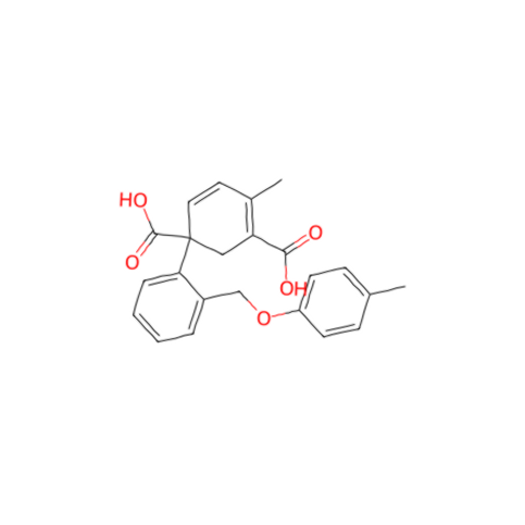 CC1=C(C(=O)O)CC(C(=O)O)(c2ccccc2COc2ccc(C)cc2)C=C1